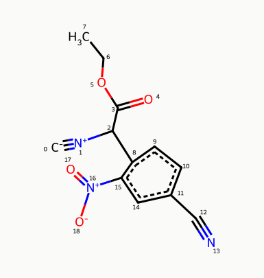 [C-]#[N+]C(C(=O)OCC)c1ccc(C#N)cc1[N+](=O)[O-]